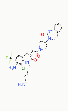 NCCCCCNC(=O)[C@H](CC(=O)N1CCC(N2CCc3ccccc3NC2=O)CC1)Cc1cc(Cl)c(N)c(C(F)(F)F)c1